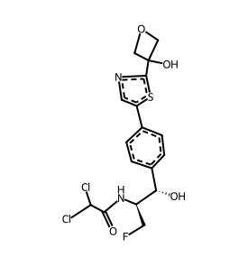 O=C(N[C@H](CF)[C@@H](O)c1ccc(-c2cnc(C3(O)COC3)s2)cc1)C(Cl)Cl